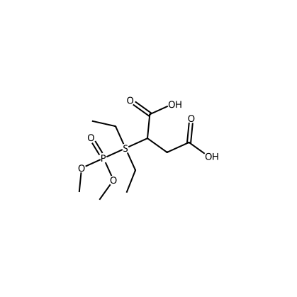 CCS(CC)(C(CC(=O)O)C(=O)O)P(=O)(OC)OC